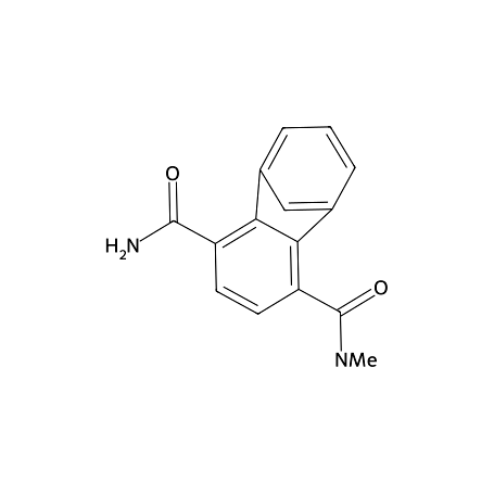 CNC(=O)c1ccc(C(N)=O)c2c1-c1cccc-2c1